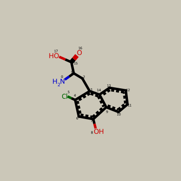 NC(Cc1c(Cl)cc(O)c2ccccc12)C(=O)O